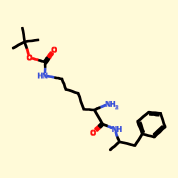 CC(Cc1ccccc1)NC(=O)C(N)CCCCNC(=O)OC(C)(C)C